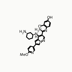 COc1ccc(-c2cc3c(N[C@H]4CCC[C@H](N)C4)c(/C(N)=N/c4ccc(O)cc4Cl)cnn3c2)cn1